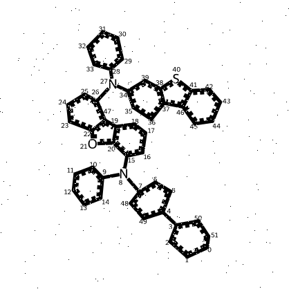 c1ccc(-c2ccc(N(c3ccccc3)c3cccc4c3oc3cccc(N(c5ccccc5)c5ccc6c(c5)sc5ccccc56)c34)cc2)cc1